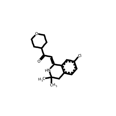 CC1(C)Cc2ccc(Cl)cc2/C(=C/C(=O)C2CCOCC2)N1